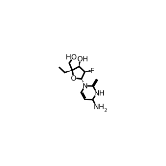 C=C1NC(N)C=CN1[C@@H]1O[C@](CC)(CO)[C@@H](O)[C@H]1F